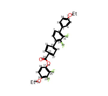 CCOc1ccc(-c2ccc(-c3ccc(C(=O)Oc4ccc(OCC)c(F)c4F)cc3)c(F)c2F)cc1